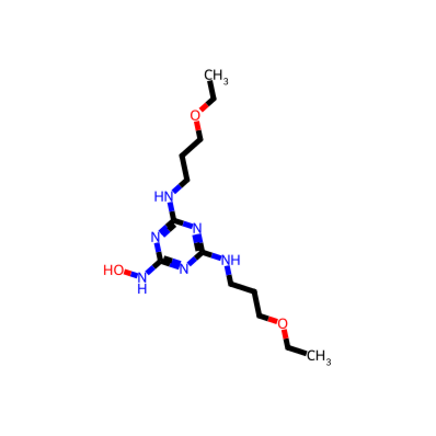 CCOCCCNc1nc(NO)nc(NCCCOCC)n1